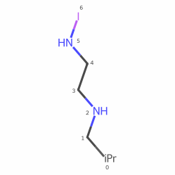 CC(C)CNCCNI